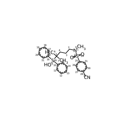 CN(CCCC(C)(C)[Si](O)(c1ccccc1)c1ccccc1)S(=O)(=O)c1ccc(C#N)cc1